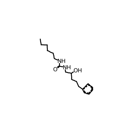 CCCCCCNC(=O)NCC(O)CCCc1ccccc1